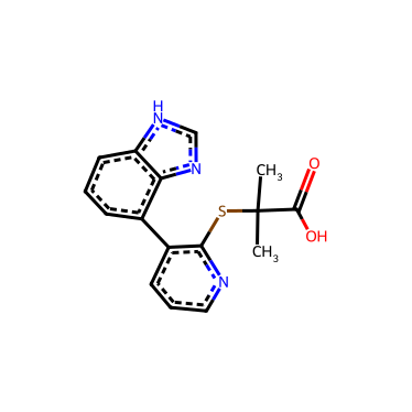 CC(C)(Sc1ncccc1-c1cccc2[nH]cnc12)C(=O)O